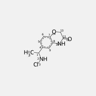 CC(NCl)c1ccc2c(c1)NC(=O)CO2